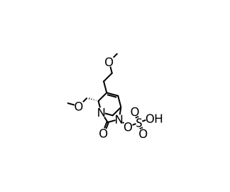 COCCC1=CC2CN(C(=O)N2OS(=O)(=O)O)[C@@H]1COC